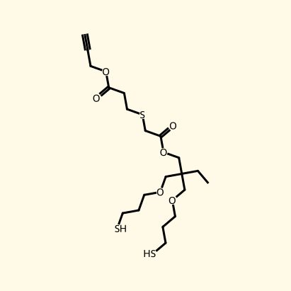 C#CCOC(=O)CCSCC(=O)OCC(CC)(COCCCS)COCCCS